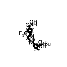 Cc1ccc(-c2cn3nc(-c4ccc(C(=O)NO)cc4C(F)(F)F)ccc3n2)cc1NC(=O)C(C)(C)C